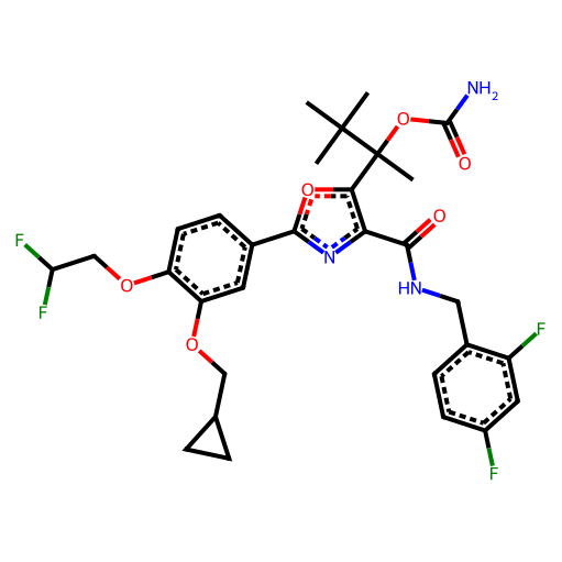 CC(C)(C)C(C)(OC(N)=O)c1oc(-c2ccc(OCC(F)F)c(OCC3CC3)c2)nc1C(=O)NCc1ccc(F)cc1F